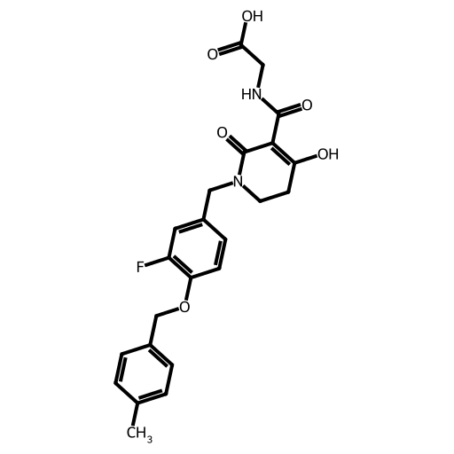 Cc1ccc(COc2ccc(CN3CCC(O)=C(C(=O)NCC(=O)O)C3=O)cc2F)cc1